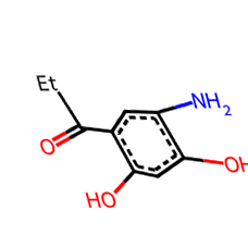 CCC(=O)c1cc(N)c(O)cc1O